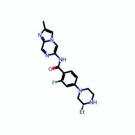 CC[C@H]1CN(c2ccc(C(=O)Nc3cn4cc(C)nc4cn3)c(F)c2)CCN1